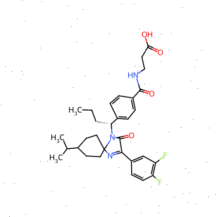 CCC[C@H](c1ccc(C(=O)NCCC(=O)O)cc1)N1C(=O)C(c2ccc(F)c(F)c2)=NC12CCC(C(C)C)CC2